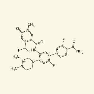 C[C@@H]1CN(c2cc(F)c(-c3ccc(C(N)=O)c(F)c3)cc2NC(=O)c2cn(C)c(=O)cc2C(F)F)CCN1C